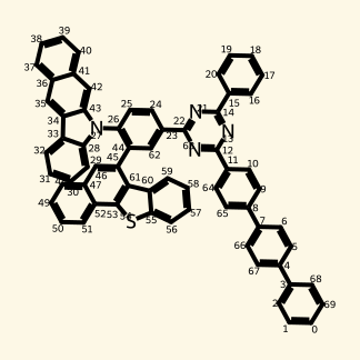 c1ccc(-c2ccc(-c3ccc(-c4nc(-c5ccccc5)nc(-c5ccc(-n6c7ccccc7c7cc8ccccc8cc76)c(-c6cc7ccccc7c7sc8ccccc8c67)c5)n4)cc3)cc2)cc1